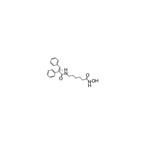 O=C(CCCCCNC(=O)/C(=C/c1ccccc1)c1ccccc1)NO